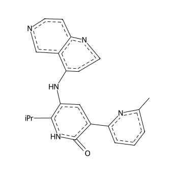 Cc1cccc(-c2cc(Nc3ccnc4ccncc34)c(C(C)C)[nH]c2=O)n1